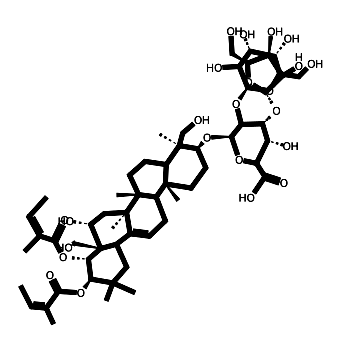 C/C=C(/C)C(=O)O[C@H]1[C@H](OC(=O)/C(C)=C\C)[C@@]2(CO)C(CC1(C)C)C1=CCC3[C@@]4(C)CC[C@H](O[C@@H]5OC(C(=O)O)[C@@H](O)[C@@H](O[C@@H]6O[C@@H](CO)[C@@H](O)C6O)C5O[C@@H]5OC(CO)[C@@H](O)[C@@H](O)C5O)[C@](C)(CO)C4CC[C@@]3(C)[C@]1(C)C[C@H]2O